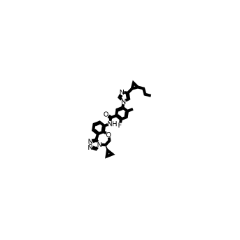 CCCC1CC1c1cn(-c2cc(C(=O)Nc3cccc4c3OC[C@@H](C3CC3)n3cnnc3-4)c(F)cc2C)cn1